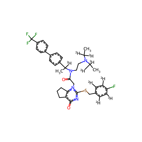 [2H]c1c([2H])c(CSc2nc(=O)c3c(n2CC(=O)N(CCN(C([2H])([2H])C)C([2H])([2H])C)C([2H])(C)c2ccc(-c4ccc(C(F)(F)F)cc4)cc2)CCC3)c([2H])c([2H])c1F